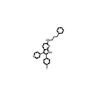 Fc1ccc(-c2[nH]c3nc(NCCCc4ccccc4)ccc3c2-c2ccncc2)cc1